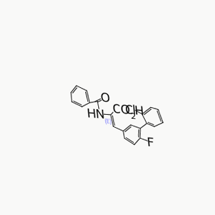 O=C(O)/C(=C\c1ccc(F)c(-c2ccccc2Cl)c1)NC(=O)c1ccccc1